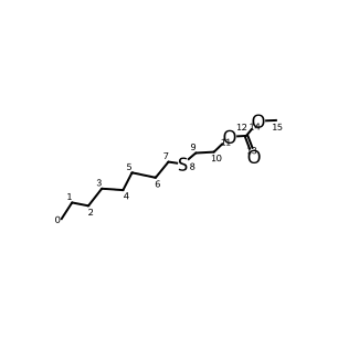 CCCCCCCCSCCOC(=O)OC